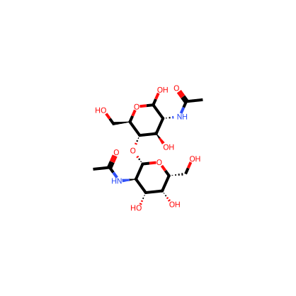 CC(=O)N[C@H]1[C@H](O[C@H]2[C@H](O)[C@@H](NC(C)=O)C(O)O[C@@H]2CO)O[C@H](CO)[C@H](O)[C@@H]1O